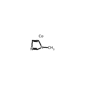 Cn1ccnc1.[Co]